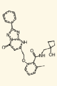 Cc1cccc(OCc2cc(=O)n3nc(-c4ccccc4)nc3[nH]2)c1C(=O)NCC1(O)CCC1